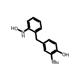 CC(C)(C)c1cc(Cc2ccccc2NO)ccc1O